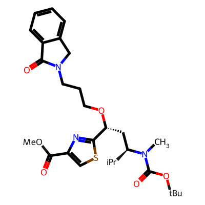 COC(=O)c1csc([C@@H](C[C@H](C(C)C)N(C)C(=O)OC(C)(C)C)OCCCN2Cc3ccccc3C2=O)n1